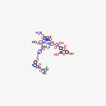 N#C[C@@H]1CC(F)(F)CN1C(=O)CNC(=O)c1ccnc2ccc(OCCCN3CCN(C(=O)CCC(=O)N[C@@H](CC(=O)O)C(=O)N[C@@H](CCCCN)C(=O)N[C@@H](CC(=O)O)C(=O)N[C@@H](CSC4CC(O)N(c5ccc6c(c5)C(=O)OC65c6ccc(O)cc6Oc6cc(O)ccc65)C4=O)C(=O)O)CC3)cc12